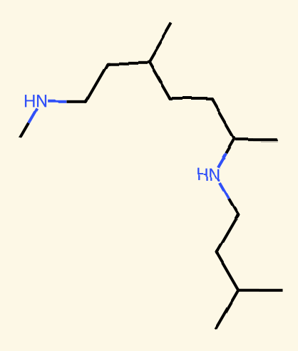 CNCCC(C)CCC(C)NCCC(C)C